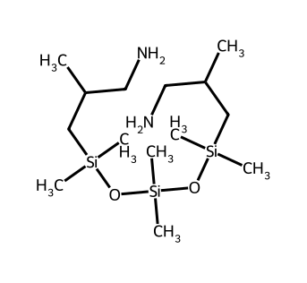 CC(CN)C[Si](C)(C)O[Si](C)(C)O[Si](C)(C)CC(C)CN